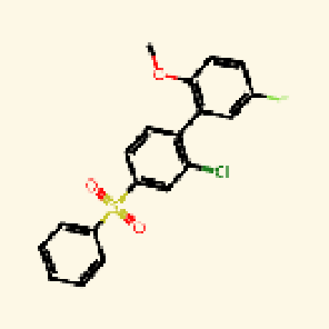 COc1ccc(F)cc1-c1ccc(S(=O)(=O)c2ccccc2)cc1Cl